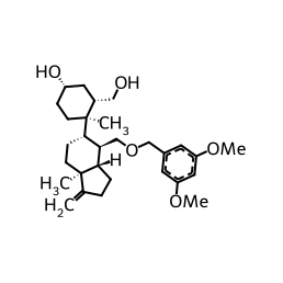 C=C1CC[C@H]2[C@H](COCc3cc(OC)cc(OC)c3)[C@@H]([C@@]3(C)CC[C@H](O)C[C@@H]3CO)CC[C@]12C